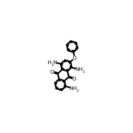 Nc1cccc2c1C(=O)c1c(N)c(Oc3ccccc3)cc(N)c1C2=O